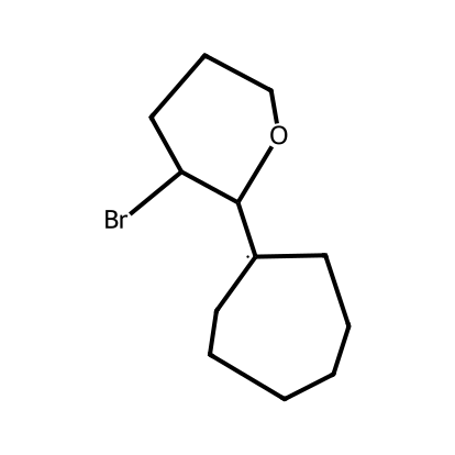 BrC1CCCOC1[C]1CCCCCC1